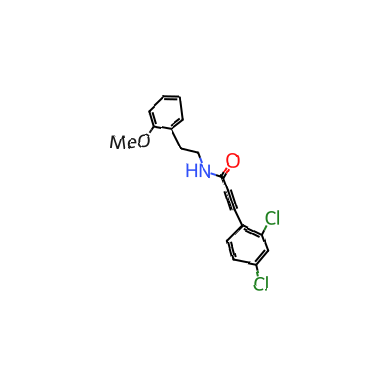 COc1ccccc1CCNC(=O)C#Cc1ccc(Cl)cc1Cl